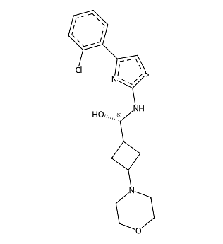 O[C@H](Nc1nc(-c2ccccc2Cl)cs1)C1CC(N2CCOCC2)C1